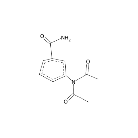 CC(=O)N(C(C)=O)c1cccc(C(N)=O)c1